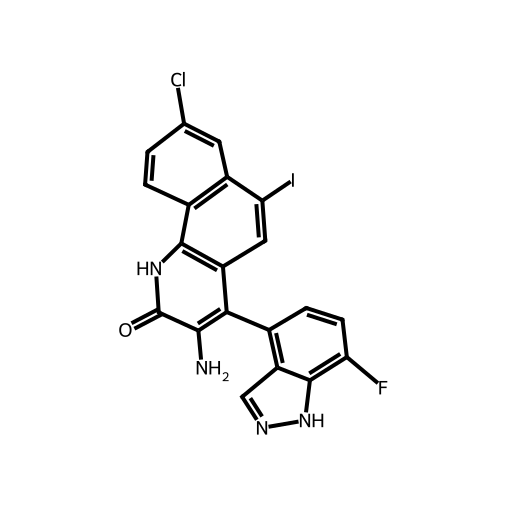 Nc1c(-c2ccc(F)c3[nH]ncc23)c2cc(I)c3cc(Cl)ccc3c2[nH]c1=O